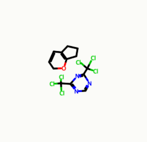 C1=CC2=C(CCC2)OC1.ClC(Cl)(Cl)c1ncnc(C(Cl)(Cl)Cl)n1